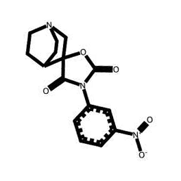 O=C1OC2(CN3CCC2CC3)C(=O)N1c1cccc([N+](=O)[O-])c1